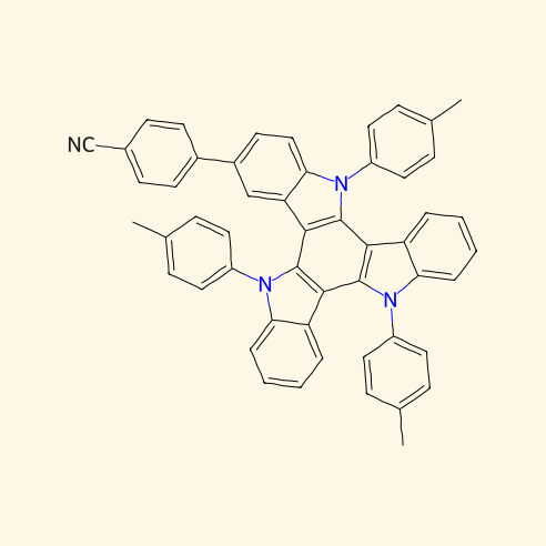 Cc1ccc(-n2c3ccccc3c3c2c2c4ccccc4n(-c4ccc(C)cc4)c2c2c4cc(-c5ccc(C#N)cc5)ccc4n(-c4ccc(C)cc4)c32)cc1